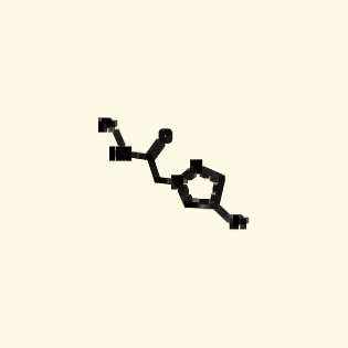 CC(C)NC(=O)Cn1cc(C(C)C)cn1